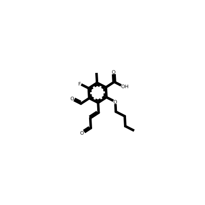 CCCCOc1c(C=CC=O)c(C=O)c(F)c(C)c1C(=O)O